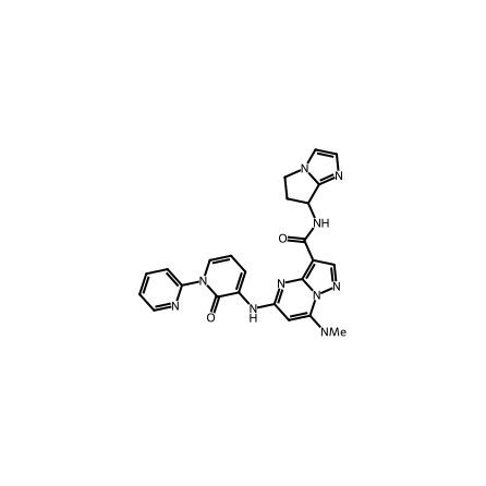 CNc1cc(Nc2cccn(-c3ccccn3)c2=O)nc2c(C(=O)NC3CCn4ccnc43)cnn12